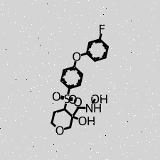 O=C(NO)C1(O)COCCC1S(=O)(=O)c1ccc(Oc2cccc(F)c2)cc1